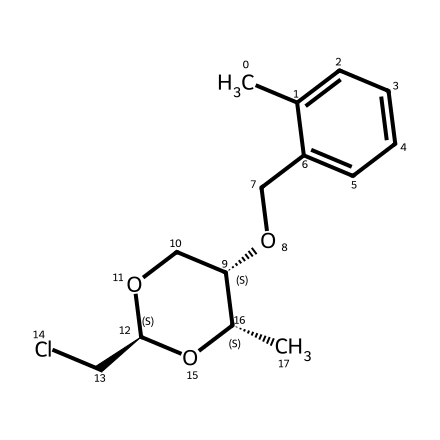 Cc1ccccc1CO[C@H]1CO[C@H](CCl)O[C@H]1C